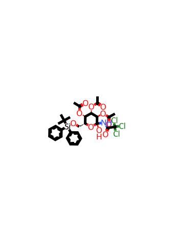 CC(=O)O[C@@H]1[C@H](OC(C)=O)[C@@H](OC(C)=O)[C@](O)(NC(=O)C(Cl)(Cl)Cl)O[C@@H]1CO[Si](c1ccccc1)(c1ccccc1)C(C)(C)C